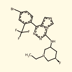 CCN1CC(Nc2nnc(-c3ccc(Br)cc3C(F)(F)F)c3cncn23)C[C@@H](F)C1